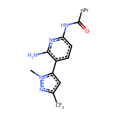 CCCC(=O)Nc1ccc(-c2cc(C(F)(F)F)nn2C)c(N)n1